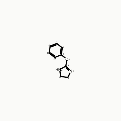 c1ccc(OC2=NCCN2)cc1